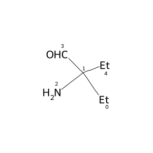 CCC(N)(C=O)CC